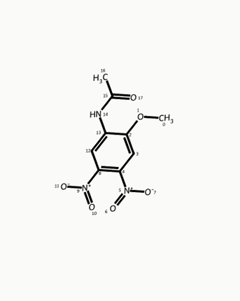 COc1cc([N+](=O)[O-])c([N+](=O)[O-])cc1NC(C)=O